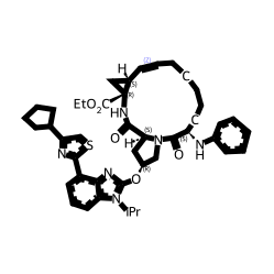 CCOC(=O)[C@@]12C[C@H]1/C=C\CCCCC[C@H](Nc1ccccc1)C(=O)N1C[C@H](Oc3nc4c(-c5nc(C6CCCC6)cs5)cccc4n3C(C)C)C[C@H]1C(=O)N2